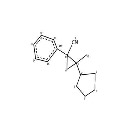 CC1(C2CCCC2)CC1(C#N)c1ccccc1